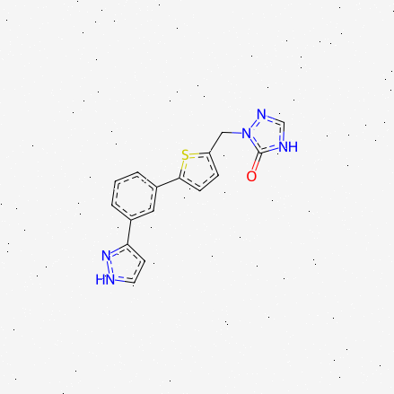 O=c1[nH]cnn1Cc1ccc(-c2cccc(-c3cc[nH]n3)c2)s1